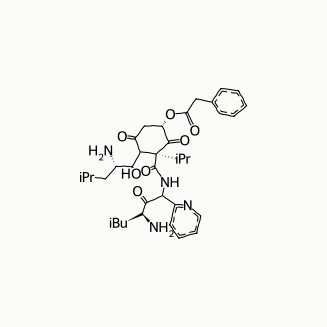 CC[C@H](C)[C@H](N)C(=O)C(NC(=O)[C@]1(C(C)C)C(=O)[C@@H](OC(=O)Cc2ccccc2)CC(=O)C1[C@H](O)[C@@H](N)CC(C)C)c1ccccn1